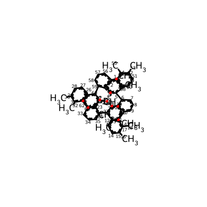 Cc1cccc(-c2cccc(-c3cccc(C)c3C)c2[S][Bi]([S]c2c(-c3cccc(C)c3C)cccc2-c2cccc(C)c2C)[S]c2c(-c3cccc(C)c3C)cccc2-c2cccc(C)c2C)c1C